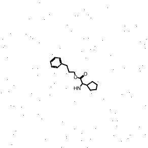 [NH]C(C(=O)OCCCc1ccccc1)C1CCCC1